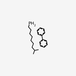 CC(C)CCCCCCCP.c1ccc(-c2ccccc2)cc1